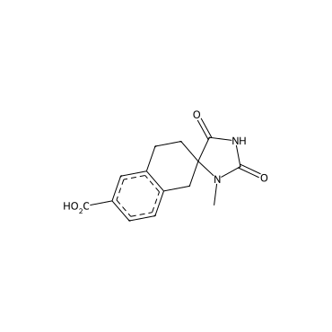 CN1C(=O)NC(=O)C12CCc1cc(C(=O)O)ccc1C2